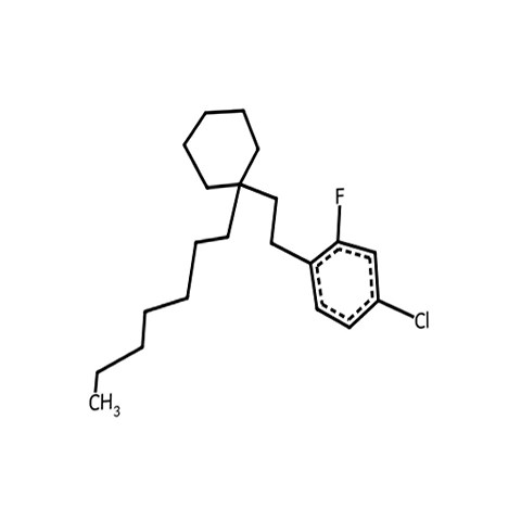 CCCCCCCC1(CCc2ccc(Cl)cc2F)CCCCC1